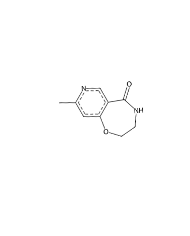 Cc1cc2c(cn1)C(=O)NCCO2